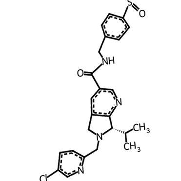 CC(C)[C@H]1c2ncc(C(=O)NCc3ccc(S(C)(=O)=O)cc3)cc2CN1Cc1ccc(Cl)cn1